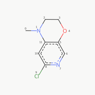 CN1CCOc2cnc(Cl)cc21